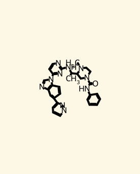 CC(Nc1nccc(-n2cnc3cc(-c4cccnn4)ccc32)n1)C1CN(C(=O)Nc2ccccc2)CCN1C